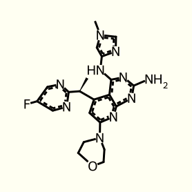 C[C@H](c1ncc(F)cn1)c1cc(N2CCOCC2)nc2nc(N)nc(Nc3cn(C)cn3)c12